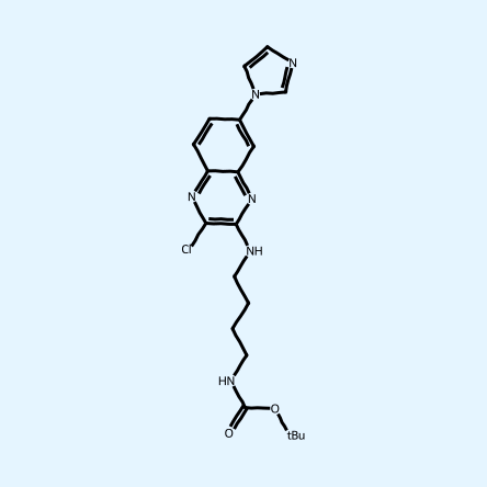 CC(C)(C)OC(=O)NCCCCNc1nc2cc(-n3ccnc3)ccc2nc1Cl